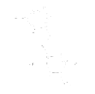 O=[N+]([O-])c1cc(F)c(OCc2cccc(Cl)n2)cc1Cl